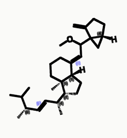 C=C1CC[C@@H]2CC12C(/C=C1\CCC[C@]2(C)[C@@H]([C@H](C)/C=C/[C@H](C)C(C)C)CC[C@@H]12)OC